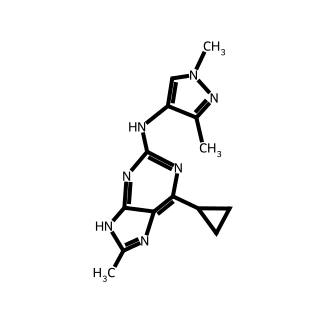 Cc1nc2c(C3CC3)nc(Nc3cn(C)nc3C)nc2[nH]1